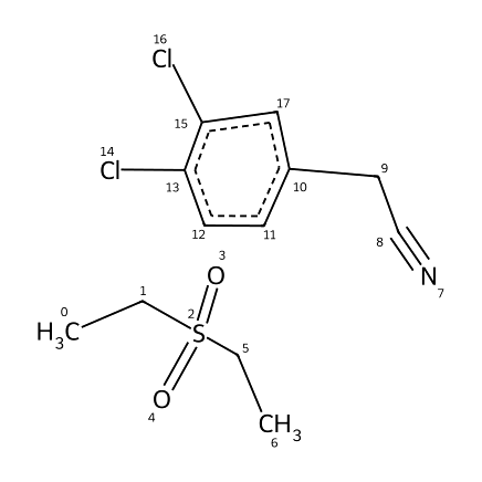 CCS(=O)(=O)CC.N#CCc1ccc(Cl)c(Cl)c1